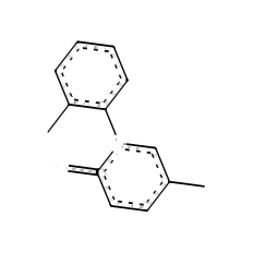 Cc1ccc(=O)n(-c2ccccc2C)c1